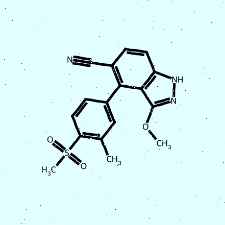 COc1n[nH]c2ccc(C#N)c(-c3ccc(S(C)(=O)=O)c(C)c3)c12